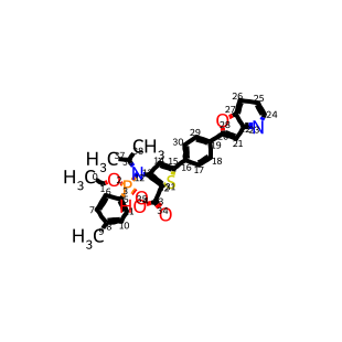 CCOP(=O)(c1ccc(C)cc1)N(c1cc(-c2ccc(-c3cc4ncccc4o3)cc2)sc1C(=O)O)C(C)C